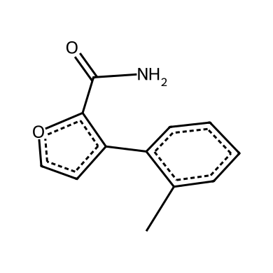 Cc1ccccc1-c1ccoc1C(N)=O